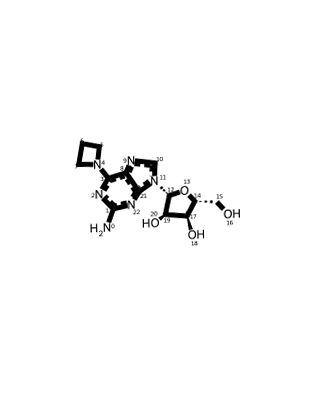 Nc1nc(N2CCC2)c2ncn([C@@H]3O[C@H](CO)[C@@H](O)[C@H]3O)c2n1